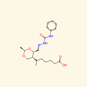 CC(CCCCC(=O)O)[C@H]1CO[C@@H](C)O[C@H]1/C=N/NC(=O)Nc1ccccc1